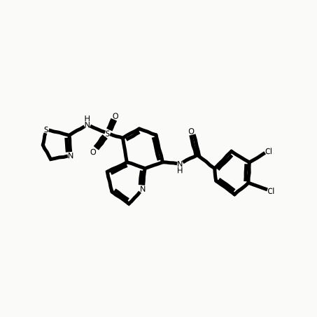 O=C(Nc1ccc(S(=O)(=O)NC2=NCCS2)c2cccnc12)c1ccc(Cl)c(Cl)c1